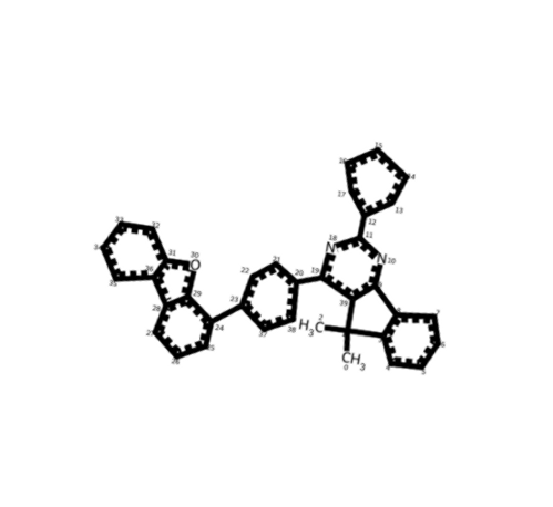 CC1(C)c2ccccc2-c2nc(-c3ccccc3)nc(-c3ccc(-c4cccc5c4oc4ccccc45)cc3)c21